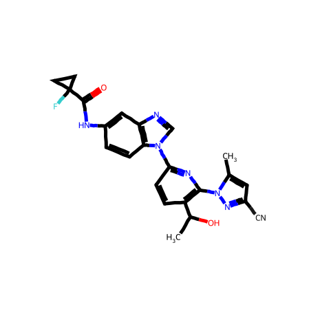 Cc1cc(C#N)nn1-c1nc(-n2cnc3cc(NC(=O)C4(F)CC4)ccc32)ccc1C(C)O